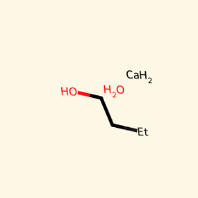 CCCCO.O.[CaH2]